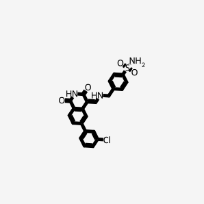 NS(=O)(=O)c1ccc(CNC=C2C(=O)NC(=O)c3ccc(-c4cccc(Cl)c4)cc32)cc1